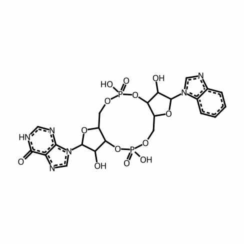 O=c1[nH]cnc2c1ncn2C1OC2COP(=O)(O)OC3C(COP(=O)(O)OC2C1O)OC(n1cnc2ccccc21)C3O